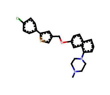 CN1CCN(c2cccc3ccc(OCc4csc(-c5ccc(Cl)cc5)c4)cc23)CC1